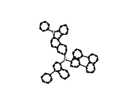 c1ccc(-c2ccc(N(c3ccc(-c4cccc5cccc(-c6ccccc6)c45)cc3)c3ccc4c(ccc5c4c4ccccc4n5-c4ccccc4)c3)c3ccccc23)cc1